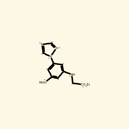 CCOC(=O)CNc1cc(OC)cc(-n2cncn2)c1